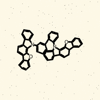 C1=c2c(n(-c3ccccc3-c3cccc(-n4c5ccccc5c5ccc6c7ccccc7oc6c54)c3)c3ccccc23)=C2Oc3ccccc3C2C1